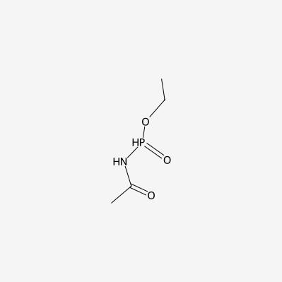 CCO[PH](=O)NC(C)=O